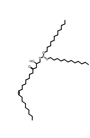 CCCCCCCC/C=C\CCCCCCCC(=O)CC(O)COP(OCCCCCCCCCCCC)OCCCCCCCCCCCC